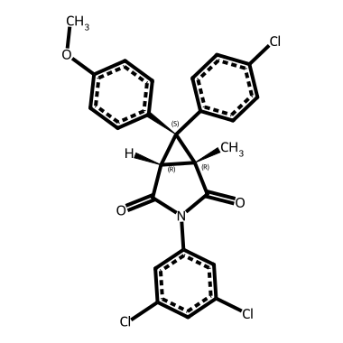 COc1ccc([C@]2(c3ccc(Cl)cc3)[C@H]3C(=O)N(c4cc(Cl)cc(Cl)c4)C(=O)[C@]32C)cc1